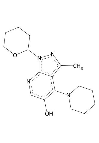 Cc1nn(C2CCCCO2)c2ncc(O)c(N3CCCCC3)c12